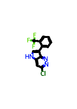 FC(F)(F)c1ccccc1-c1c[nH]c2cc(Cl)nnc12